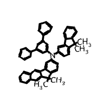 CC1(C)c2ccccc2-c2cc(N(c3cc(-c4ccccc4)cc(-c4ccccc4)c3)c3ccc4c(c3)-c3cc5ccccc5cc3C4(C)C)ccc21